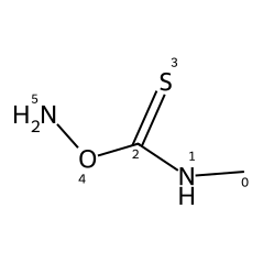 CNC(=S)ON